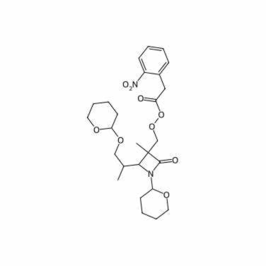 CC(COC1CCCCO1)C1N(C2CCCCO2)C(=O)C1(C)COOC(=O)Cc1ccccc1[N+](=O)[O-]